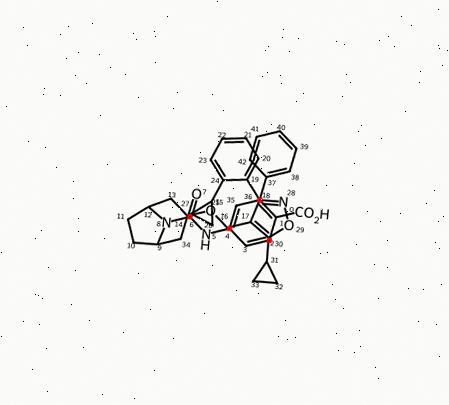 O=C(O)c1ccc(NC(=O)N2C3CCC2CC(OCc2c(-c4ccccc4C4CC4)noc2C2CC2)C3)cc1-c1ccccc1